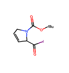 CC(C)(C)OC(=O)N1CC=CC1C(=O)I